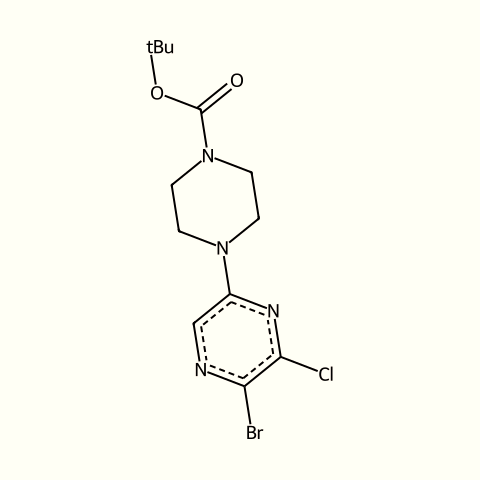 CC(C)(C)OC(=O)N1CCN(c2cnc(Br)c(Cl)n2)CC1